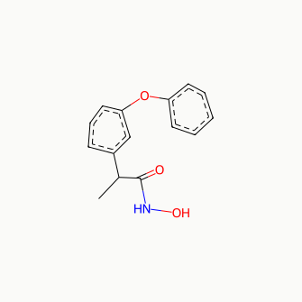 CC(C(=O)NO)c1cccc(Oc2ccccc2)c1